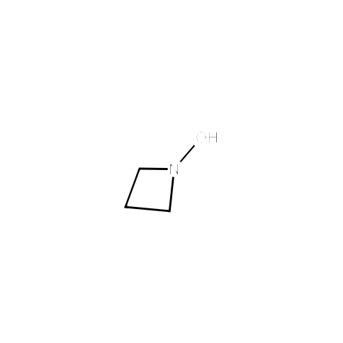 ON1CCC1